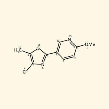 COc1ccc(-c2nc(Cl)c(C)s2)cn1